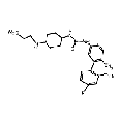 COCCNC1CCC(NC(=O)Nc2cc(-c3ccc(F)cc3OC)c(C)cn2)CC1